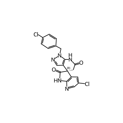 O=C1C[C@]2(C(=O)Nc3ncc(Cl)cc32)c2cnn(Cc3ccc(Cl)cc3)c2N1